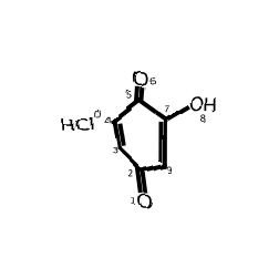 Cl.O=C1C=CC(=O)C(O)=C1